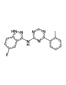 Cc1ccccc1-c1ncnc(Nc2n[nH]c3ccc(F)cc23)n1